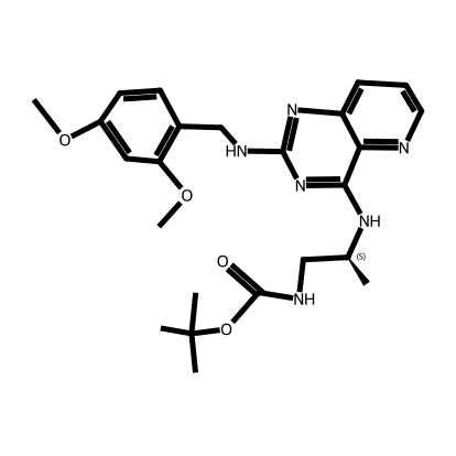 COc1ccc(CNc2nc(N[C@@H](C)CNC(=O)OC(C)(C)C)c3ncccc3n2)c(OC)c1